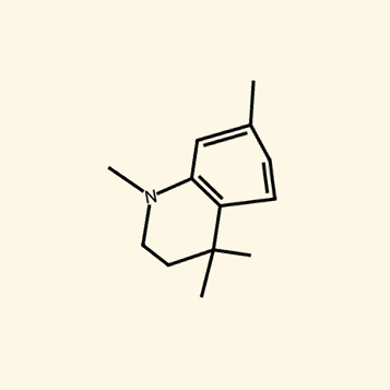 Cc1ccc2c(c1)N(C)CCC2(C)C